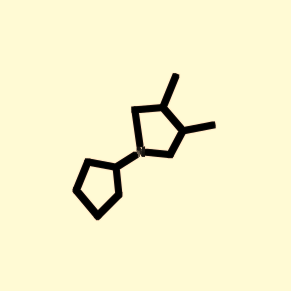 CC1CN(C2CCCC2)CC1C